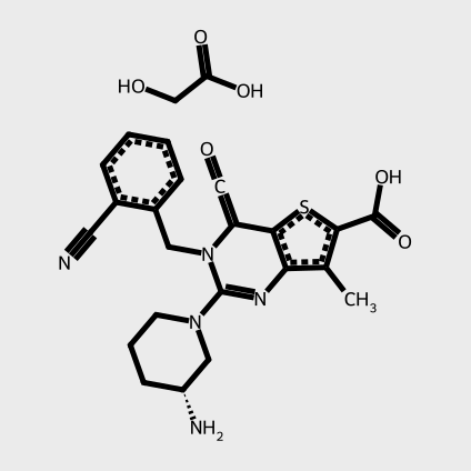 Cc1c(C(=O)O)sc2c1N=C(N1CCC[C@@H](N)C1)N(Cc1ccccc1C#N)C2=C=O.O=C(O)CO